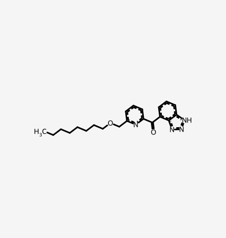 CCCCCCCCOCc1cccc(C(=O)c2cccc3[nH]nnc23)n1